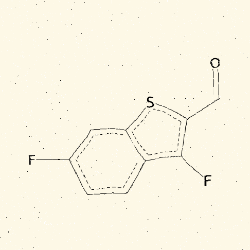 O=Cc1sc2cc(F)ccc2c1F